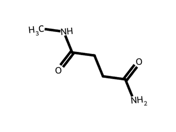 CNC(=O)CCC(N)=O